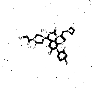 C=CC(=O)N1C[C@H](C)N(c2nc(=O)n3c4c(c(-c5ccc(F)cc5F)c(Cl)cc24)OC=C3CN2CCC2)C[C@H]1C